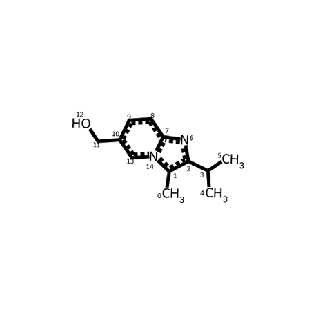 Cc1c(C(C)C)nc2ccc(CO)cn12